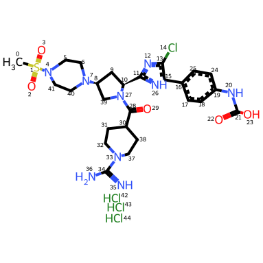 CS(=O)(=O)N1CCN([C@H]2C[C@@H](c3nc(Cl)c(-c4ccc(NC(=O)O)cc4)[nH]3)N(C(=O)C3CCN(C(=N)N)CC3)C2)CC1.Cl.Cl.Cl